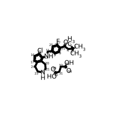 CC(C)(C)CC(=O)c1ccc(CNc2c(Cl)ccc3c2CCNCC3)cc1F.O=C(O)CCC(=O)O